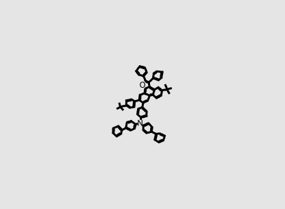 CC(C)(C)c1ccc(-c2cc3c(cc2-c2ccc(N(c4ccc(-c5ccccc5)cc4)c4ccc(-c5ccccc5)cc4)cc2)c2ccc(C(C)(C)C)cc2c2c(-c4ccccc4)c(-c4ccccc4)oc32)cc1